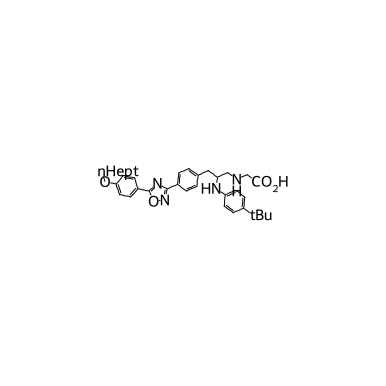 CCCCCCCOc1ccc(-c2nc(-c3ccc(CC(CNCC(=O)O)Nc4ccc(C(C)(C)C)cc4)cc3)no2)cc1